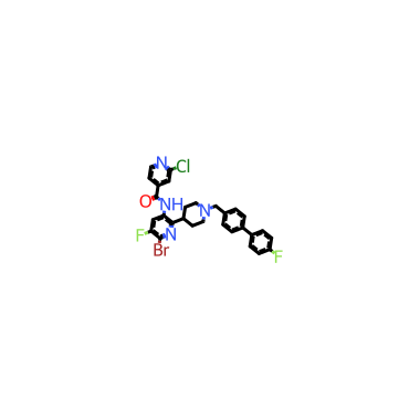 O=C(Nc1cc(F)c(Br)nc1C1CCN(Cc2ccc(-c3ccc(F)cc3)cc2)CC1)c1ccnc(Cl)c1